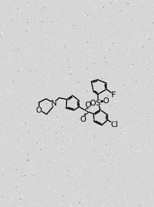 O=S(=O)(c1ccc(CN2CCOCC2)cc1)c1ccc(Cl)cc1S(=O)(=O)c1ccccc1F